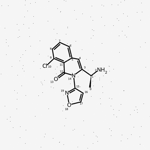 C[C@H](N)c1cc2cccc(Cl)c2c(=O)n1-c1ccon1